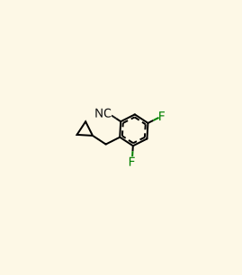 N#Cc1cc(F)cc(F)c1CC1CC1